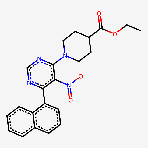 CCOC(=O)C1CCN(c2ncnc(-c3cccc4ccccc34)c2[N+](=O)[O-])CC1